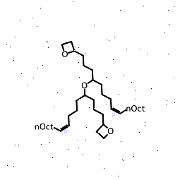 CCCCCCCC/C=C\CCCC(CCCC1CCO1)OC(CCC/C=C\CCCCCCCC)CCCC1CCO1